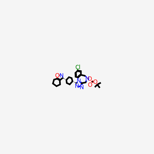 CC(C)(C)OC(=O)ON1Cc2cc(Cl)ccc2-n2c(nnc2[C@H]2CC[C@@H](c3noc4c3CCCC4)CC2)C1